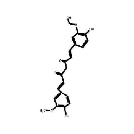 COc1cc(C=CC(=O)CC(=O)C=Cc2ccc(O)c(OCO)c2)ccc1O